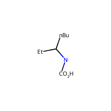 CCCCC(CC)[N]C(=O)O